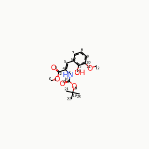 COC(=O)/C(=C/c1cccc(OC)c1O)NC(=O)OC(C)(C)C